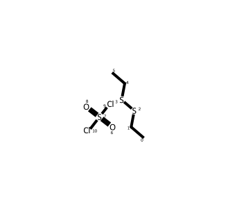 CCSSCC.O=S(=O)(Cl)Cl